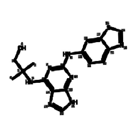 CC(C)(CO)Nc1nc(Nc2ccc3ncsc3c2)nc2[nH]cnc12